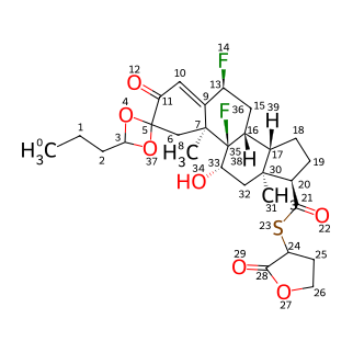 CCCC1OC2(C[C@@]3(C)C(=CC2=O)[C@@H](F)C[C@@H]2[C@@H]4CC[C@@H](C(=O)SC5CCOC5=O)[C@@]4(C)C[C@H](O)[C@@]23F)O1